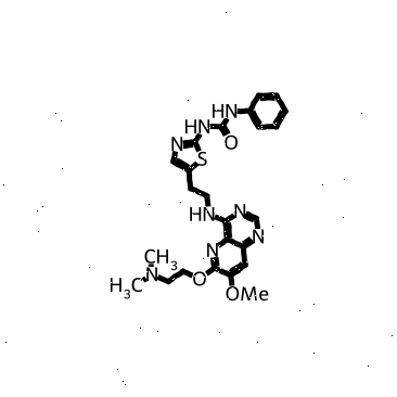 COc1cc2ncnc(NCCc3cnc(NC(=O)Nc4ccccc4)s3)c2nc1OCCN(C)C